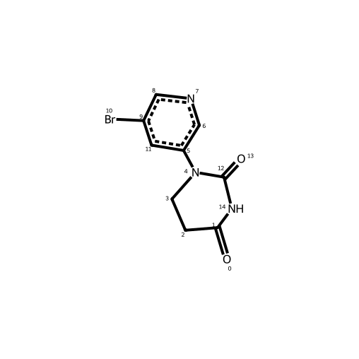 O=C1CCN(c2cncc(Br)c2)C(=O)N1